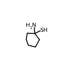 NC1(S)CCCCC1